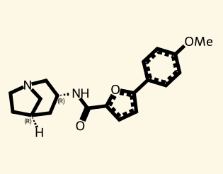 COc1ccc(-c2ccc(C(=O)N[C@@H]3C[C@H]4CCN(C4)C3)o2)cc1